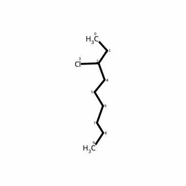 C[CH]C(Cl)CCCCCC